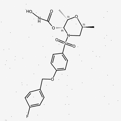 C[C@@H]1O[C@@H](C)CN(S(=O)(=O)c2ccc(OCc3ccc(F)cc3)cc2)[C@@H]1OC(=O)NO